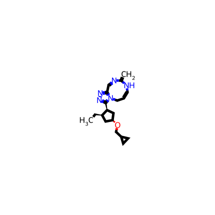 C=C1/N=C\c2nnc([C@H]3C[C@@H](OCC4CC4)C[C@H]3CC)n2C/C=C\N1